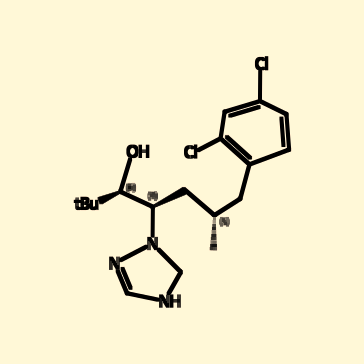 C[C@@H](Cc1ccc(Cl)cc1Cl)C[C@H]([C@H](O)C(C)(C)C)N1CNC=N1